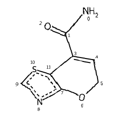 NC(=O)C1=CCOc2ncsc21